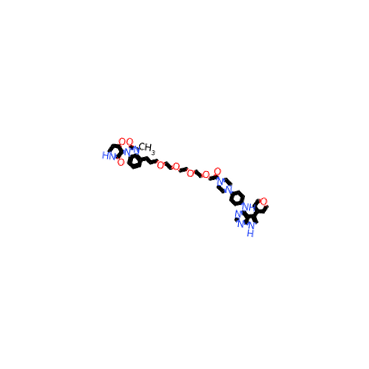 Cn1c(=O)n(C2C(=O)CCNC2=O)c2cccc(CCCOCCOCCOCCOCC(=O)N3CCN(C4CCC(Nc5ncnc6[nH]cc(C7CCOCC7)c56)CC4)CC3)c21